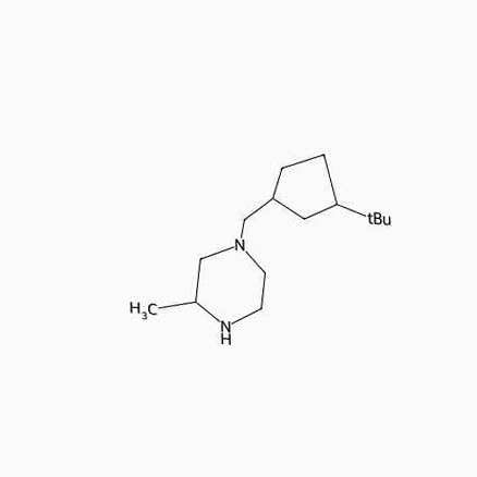 CC1CN(CC2CCC(C(C)(C)C)C2)CCN1